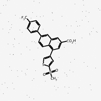 CS(=O)(=O)c1cc(-c2cc(C(=O)O)cc3cc(-c4ccc(C(F)(F)F)cc4)ccc23)cs1